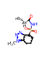 CCCC[AsH]C(=O)NS(=O)(=O)c1cccc2c1nnn2C